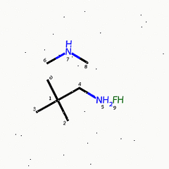 CC(C)(C)CN.CNC.F